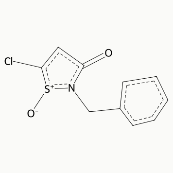 O=c1cc(Cl)[s+]([O-])n1Cc1ccccc1